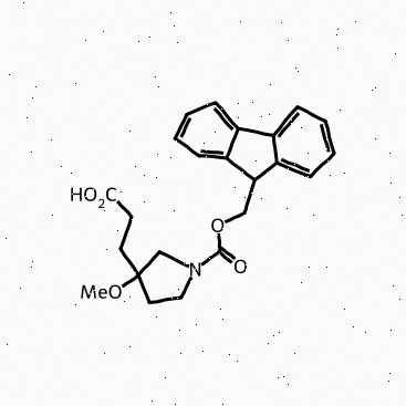 COC1(CCC(=O)O)CCN(C(=O)OCC2c3ccccc3-c3ccccc32)C1